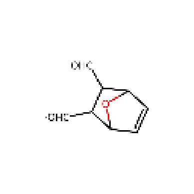 O=[C]C1C2C=CC(O2)C1[C]=O